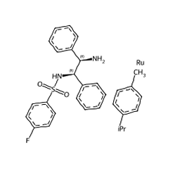 Cc1ccc(C(C)C)cc1.N[C@H](c1ccccc1)[C@H](NS(=O)(=O)c1ccc(F)cc1)c1ccccc1.[Ru]